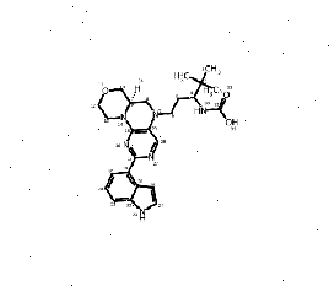 CC(C)(C)C(CCN1C[C@@H]2COCCN2c2nc(-c3cccc4[nH]ccc34)ncc21)NC(=O)O